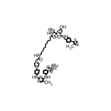 Cc1cnc(Nc2ccc(N3CCN(CC(=O)NCCCCCCCCCCC(=O)NC(C(=O)N4C[C@H](O)C[C@H]4C(=O)NCc4ccc(-c5scnc5C)cc4)C(C)(C)C)CC3)cc2)nc1Nc1cccc(S(=O)(=O)NC(C)(C)C)c1